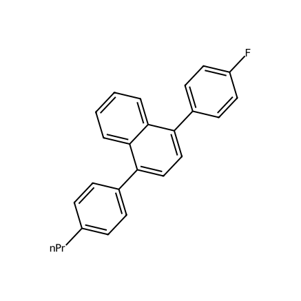 CCCc1ccc(-c2ccc(-c3ccc(F)cc3)c3ccccc23)cc1